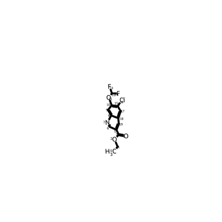 CCOC(=O)c1cnc2cc(OC(F)F)c(Cl)cc2c1